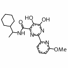 COc1cccc(-c2nc(O)c(O)c(C(=O)NC(C)C3CCCCC3)n2)n1